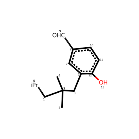 CC(C)CC(C)(C)Cc1cc(C=O)ccc1O